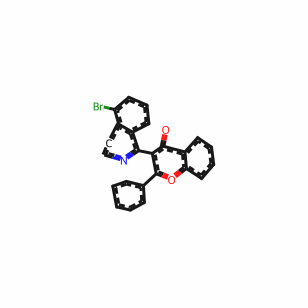 O=c1c(-c2nccc3c(Br)cccc23)c(-c2ccccc2)oc2ccccc12